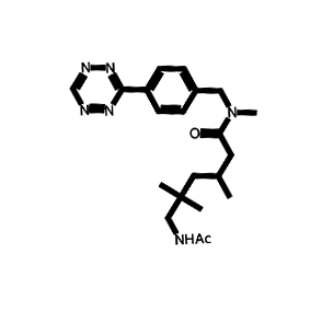 CC(=O)NCC(C)(C)CC(C)CC(=O)N(C)Cc1ccc(-c2nncnn2)cc1